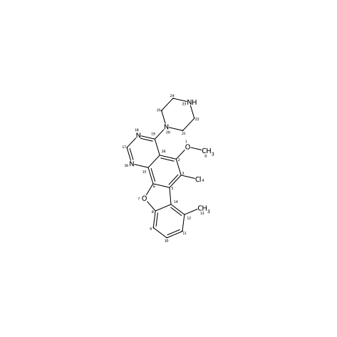 COc1c(Cl)c2c(oc3cccc(C)c32)c2ncnc(N3CCNCC3)c12